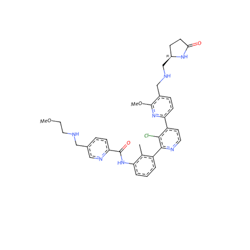 COCCNCc1ccc(C(=O)Nc2cccc(-c3nccc(-c4ccc(CNC[C@H]5CCC(=O)N5)c(OC)n4)c3Cl)c2C)nc1